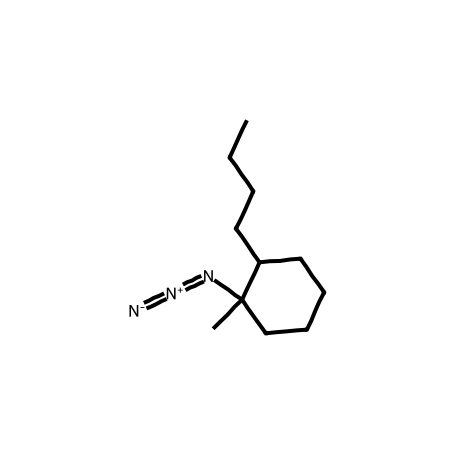 CCCCC1CCCCC1(C)N=[N+]=[N-]